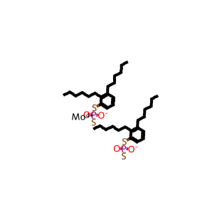 CCCCCCc1cccc(SP([O-])([O-])=S)c1CCCCCC.CCCCCCc1cccc(SP([O-])([O-])=S)c1CCCCCC.[Mo+4]